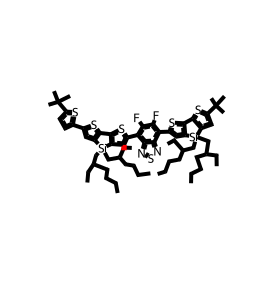 CCCCC(CC)C[Si]1(CC(CC)CCCC)c2cc(-c3ccc(C(C)(C)C)s3)sc2-c2sc(-c3c(F)c(F)c(-c4cc5c(s4)-c4sc(C(C)(C)C)cc4[Si]5(CC(CC)CCCC)CC(CC)CCCC)c4nsnc34)cc21